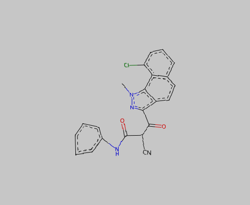 Cn1nc(C(=O)C(C#N)C(=O)Nc2ccccc2)c2ccc3cccc(Cl)c3c21